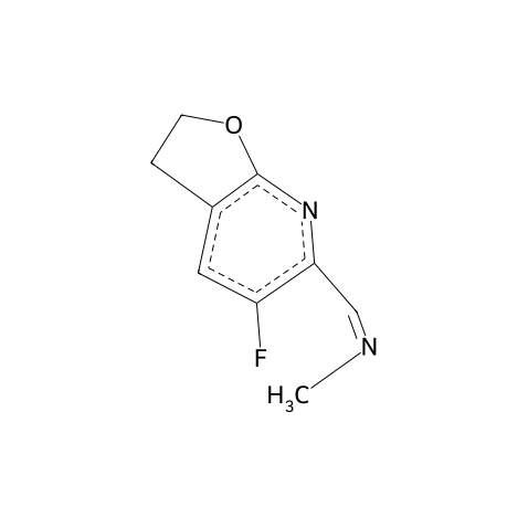 C/N=C\c1nc2c(cc1F)CCO2